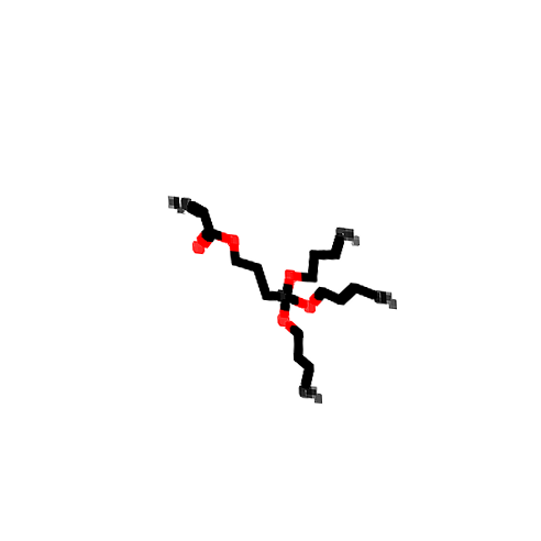 C=CC(=O)OCCC[Si](OCCCC)(OCCCC)OCCCC